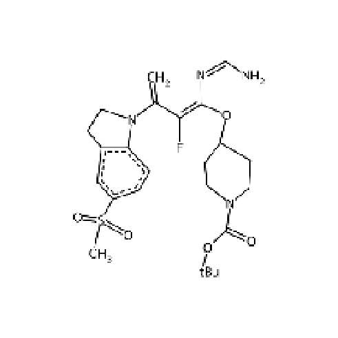 C=C(/C(F)=C(\N=C/N)OC1CCN(C(=O)OC(C)(C)C)CC1)N1CCc2cc(S(C)(=O)=O)ccc21